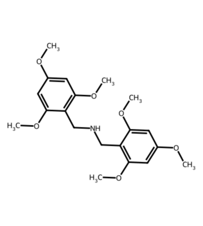 COc1cc(OC)c(CNCc2c(OC)cc(OC)cc2OC)c(OC)c1